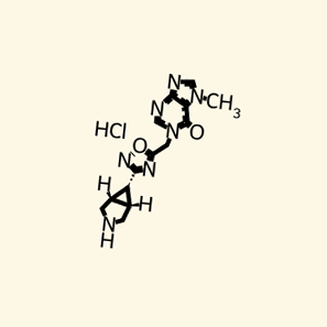 Cl.Cn1cnc2ncn(Cc3nc([C@@H]4[C@@H]5CNC[C@@H]54)no3)c(=O)c21